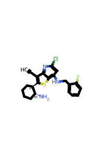 C#Cc1c([C@@H]2CCCC[C@H]2N)sc2c(NCc3ccccc3F)cc(Cl)nc12